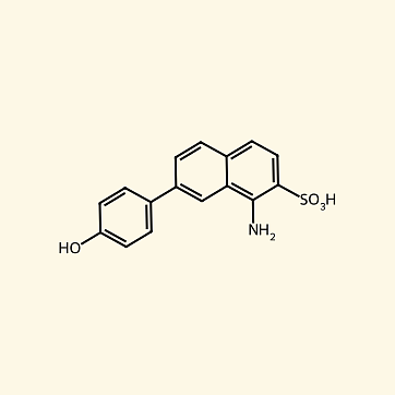 Nc1c(S(=O)(=O)O)ccc2ccc(-c3ccc(O)cc3)cc12